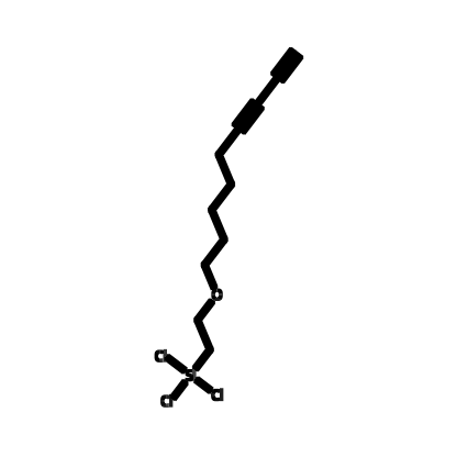 C#CC#CCCCCCOCC[Si](Cl)(Cl)Cl